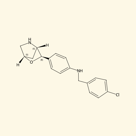 Clc1ccc(CNc2ccc([C@H]3O[C@@H]4CN[C@H]3C4)cc2)cc1